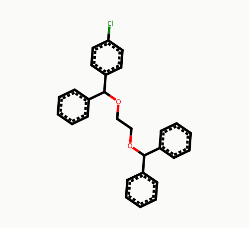 Clc1ccc(C(OCCOC(c2ccccc2)c2ccccc2)c2ccccc2)cc1